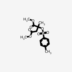 COC(=O)CC(C)(OS(=O)(=O)c1ccc(C)cc1)C(=O)OC